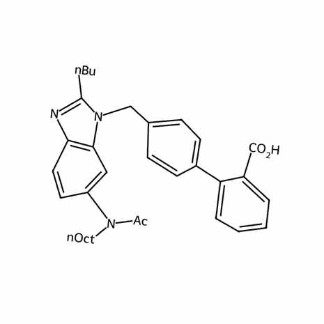 CCCCCCCCN(C(C)=O)c1ccc2nc(CCCC)n(Cc3ccc(-c4ccccc4C(=O)O)cc3)c2c1